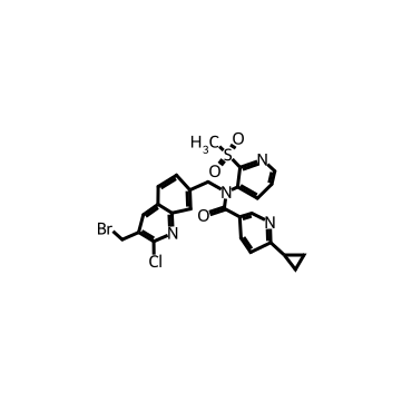 CS(=O)(=O)c1ncccc1N(Cc1ccc2cc(CBr)c(Cl)nc2c1)C(=O)c1ccc(C2CC2)nc1